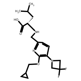 CC(C)C[C@H](NCc1ccc(N2CC(F)(F)C2)c(OCC2CC2)n1)C(=O)O